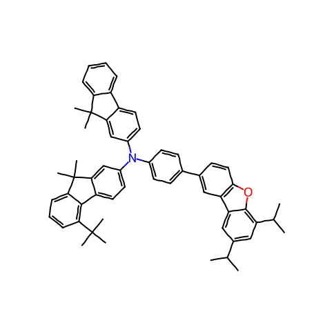 CC(C)c1cc(C(C)C)c2oc3ccc(-c4ccc(N(c5ccc6c(c5)C(C)(C)c5ccccc5-6)c5ccc6c(c5)C(C)(C)c5cccc(C(C)(C)C)c5-6)cc4)cc3c2c1